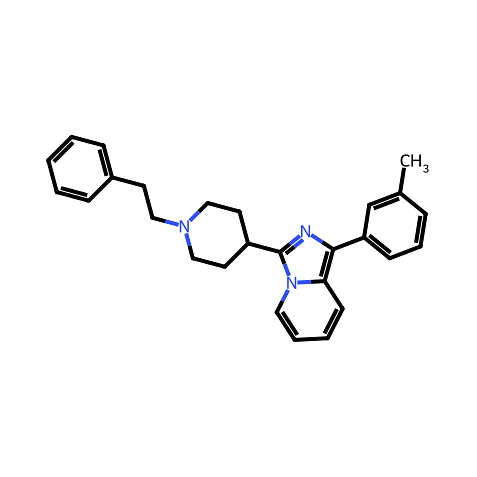 Cc1cccc(-c2nc(C3CCN(CCc4ccccc4)CC3)n3ccccc23)c1